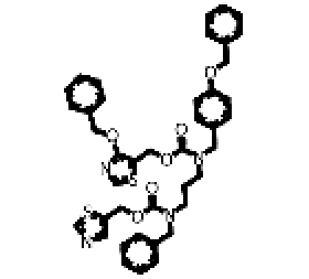 O=C(OCc1cncs1)N(CCCN(Cc1ccc(OCc2ccccc2)cc1)C(=O)OCc1scnc1OCc1ccccc1)Cc1ccccc1